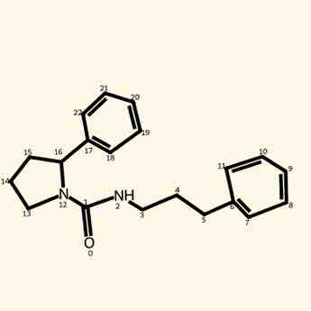 O=C(NCCCc1ccccc1)N1CCCC1c1ccccc1